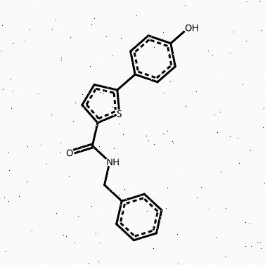 O=C(NCc1ccccc1)c1ccc(-c2ccc(O)cc2)s1